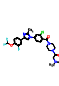 Cc1nc(-c2ccc(OC(F)F)c(F)c2)cn1-c1ccc(C(=O)N2CCN(C(=O)CN(C)C)CC2)c(Cl)c1